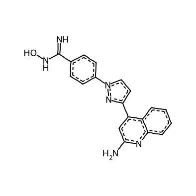 N=C(NO)c1ccc(-n2ccc(-c3cc(N)nc4ccccc34)n2)cc1